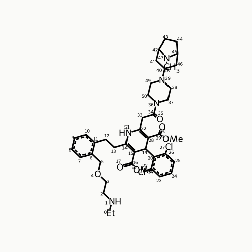 CCNCCOCc1ccccc1CCC1=C(C(=O)OC)C(c2c(Cl)cccc2Cl)C(C(=O)OC)=C(CC(=O)N2CCN(C3CC4CCC(C3)N4C)CC2)N1